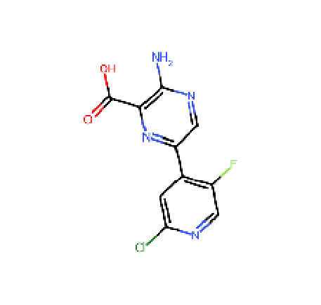 Nc1ncc(-c2cc(Cl)ncc2F)nc1C(=O)O